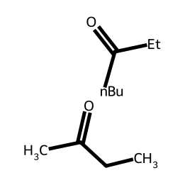 CCC(C)=O.CCCCC(=O)CC